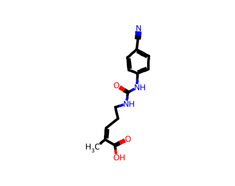 CC(=CCCNC(=O)Nc1ccc(C#N)cc1)C(=O)O